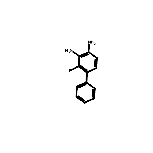 Nc1ccc(-c2ccccc2)c(I)c1N